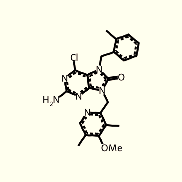 COc1c(C)cnc(Cn2c(=O)n(Cc3ccccc3C)c3c(Cl)nc(N)nc32)c1C